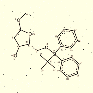 COC1CC(O)[C@@H](CO[Si](c2ccccc2)(c2ccccc2)C(C)(C)C)O1